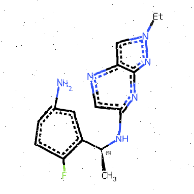 CCn1cc2ncc(N[C@@H](C)c3cc(N)ccc3F)nc2n1